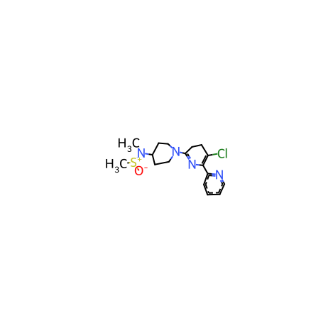 CN(C1CCN(C2=NC(c3ccccn3)=C(Cl)CC2)CC1)[S+](C)[O-]